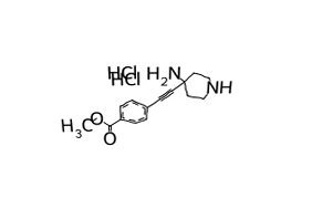 COC(=O)c1ccc(C#CC2(N)CCNCC2)cc1.Cl.Cl